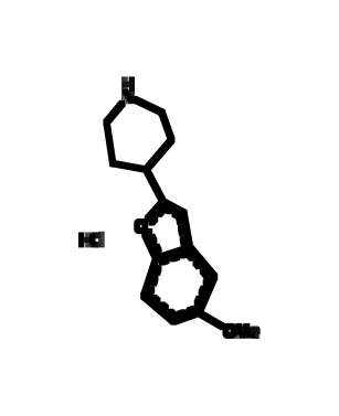 COc1ccc2oc(C3CCNCC3)cc2c1.Cl